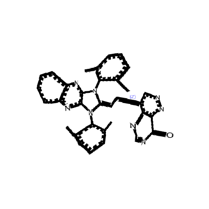 Cc1cccc(C)c1N1C(=C/C=c2/cnnc3c2=NC=NC3=O)N(c2c(C)cccc2C)c2nc3ccccc3nc21